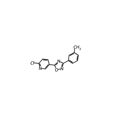 Cc1cccc(-c2noc(-c3ccc(Cl)nc3)n2)c1